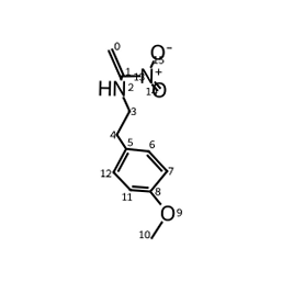 C=C(NCCc1ccc(OC)cc1)[N+](=O)[O-]